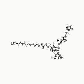 CCC=CCC=CCC=CCC=CCC=CCCCC(=O)NC(CCCNC(=O)CCCCC1CCSS1)C(=O)OC(CO)CO